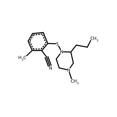 CCCC1CN(C)CCN1Sc1cccc(C)c1C#N